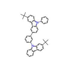 CC(C)(C)c1ccc2c(c1)c1cc(-c3cccc(-n4c5ccccc5c5ccc(C(C)(C)C)cc54)c3)ccc1n2-c1ccccc1